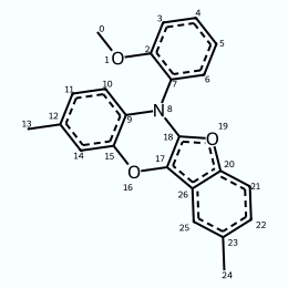 COc1ccccc1N1c2ccc(C)cc2Oc2c1oc1ccc(C)cc21